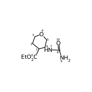 CCOC(=O)C1CCOCC1NC(N)=O